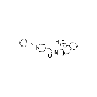 COc1ccccc1CN1CCN(C(=O)CC2CCN(CCc3ccccc3)CC2)CC1